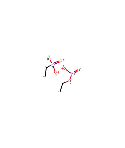 CCO[PH](=O)O.CCP(=O)(O)O